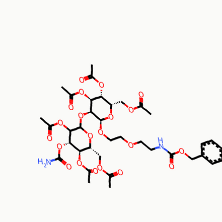 CC(=O)OC[C@@H]1O[C@@H](OCCOCCNC(=O)OCc2ccccc2)[C@@H](OC2O[C@H](COC(C)=O)[C@@H](OC(C)=O)[C@H](OC(N)=O)C2OC(C)=O)[C@@H](OC(C)=O)[C@@H]1OC(C)=O